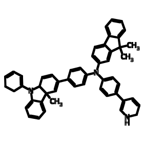 CC1(C)c2ccccc2-c2ccc(N(c3ccc(C4=CNCC=C4)cc3)c3ccc(C4=CC5(C)c6ccccc6N(C6=CC=CCC6)C5C=C4)cc3)cc21